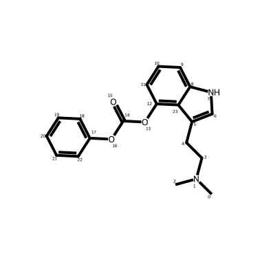 CN(C)CCc1c[nH]c2cccc(OC(=O)Oc3ccccc3)c12